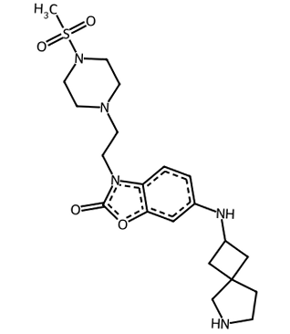 CS(=O)(=O)N1CCN(CCn2c(=O)oc3cc(NC4CC5(CCNC5)C4)ccc32)CC1